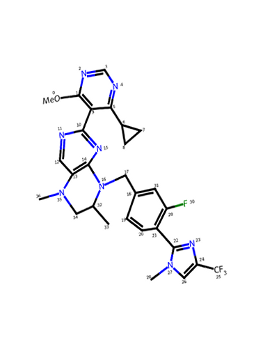 COc1ncnc(C2CC2)c1-c1ncc2c(n1)N(Cc1ccc(-c3nc(C(F)(F)F)cn3C)c(F)c1)C(C)CN2C